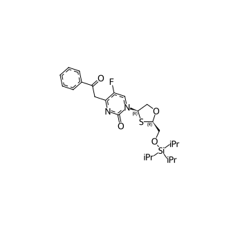 CC(C)[Si](OC[C@@H]1OC[C@H](n2cc(F)c(CC(=O)c3ccccc3)nc2=O)S1)(C(C)C)C(C)C